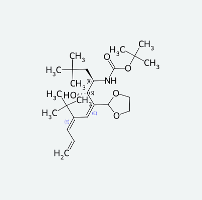 C=C/C=C(\C=C(\C1OCCO1)[C@H](O)[C@@H](CC(C)(C)C)NC(=O)OC(C)(C)C)C(C)(C)C